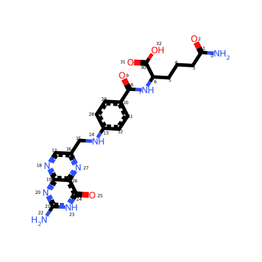 NC(=O)CCCC(NC(=O)c1ccc(NCc2cnc3nc(N)[nH]c(=O)c3n2)cc1)C(=O)O